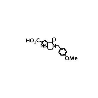 COc1ccc(CN2CCn3nc(C(=O)O)cc3C2=O)cc1